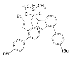 CCCc1ccc(-c2cccc3c2C=C(CC)[CH]3[Zr]([Cl])([Cl])([CH]2C=Cc3c(-c4ccc(C(C)(C)C)cc4)cccc32)[SiH](C)C)cc1